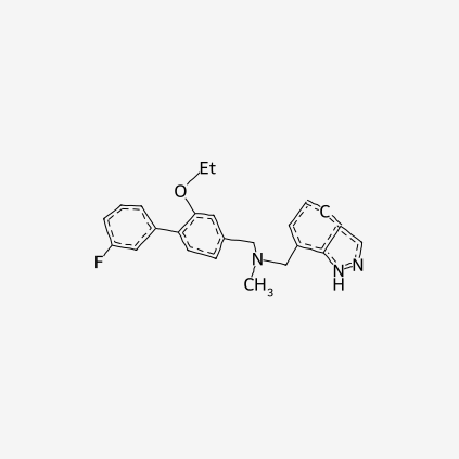 CCOc1cc(CN(C)Cc2cccc3cn[nH]c23)ccc1-c1cccc(F)c1